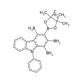 Bc1c(B2OC(C)(C)C(C)(C)O2)c(B)c2c3ccccc3n(-c3ccccc3)c2c1B